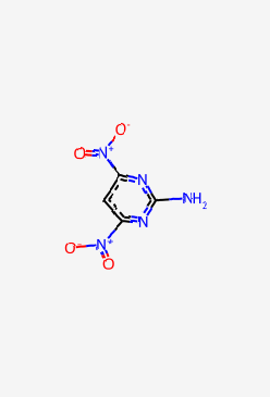 Nc1nc([N+](=O)[O-])cc([N+](=O)[O-])n1